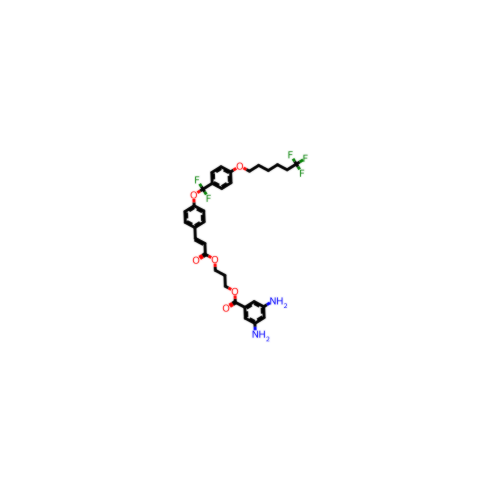 Nc1cc(N)cc(C(=O)OCCCOC(=O)C=Cc2ccc(OC(F)(F)c3ccc(OCCCCCC(F)(F)F)cc3)cc2)c1